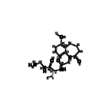 CC[C@@H](NC(=O)CN1C(=O)CCCc2c(OC)cccc21)C(=O)NCN